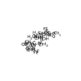 CN(C)CCN(C)c1nc(OCC(F)(F)F)c(Nc2nccc(-c3cn(C)c4ccccc34)n2)cc1NC(O)CCN(C)CCN(C)c1nc(OCC(F)(F)F)c(Nc2nccc(-c3cn(C)c4ccccc34)n2)cc1N